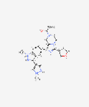 COC(=O)N1CCn2c(C3CCOC3)nc(-c3ccc4c(c3)c(-c3cnn(C)c3)nn4C)c2C1